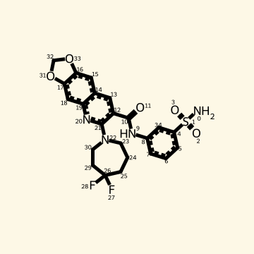 NS(=O)(=O)c1cccc(NC(=O)c2cc3cc4c(cc3nc2N2CCCC(F)(F)CC2)OCO4)c1